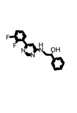 O[C@@H](CNc1cc(-c2cccc(F)c2F)ncn1)c1ccccc1